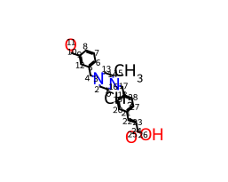 C[C@@H]1CN(Cc2cccc(C=O)c2)C[C@H](C)N1Cc1ccc(/C=C/C(=O)O)cc1